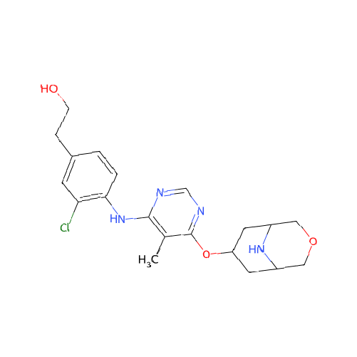 Cc1c(Nc2ccc(CCO)cc2Cl)ncnc1OC1CC2COCC(C1)N2